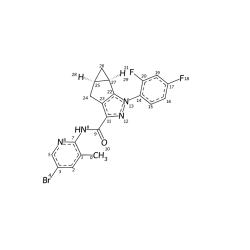 Cc1cc(Br)cnc1NC(=O)c1nn(-c2ccc(F)cc2F)c2c1C[C@H]1C[C@@H]21